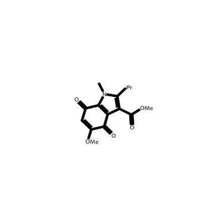 COC(=O)c1c2c(n(C)c1C(C)C)C(=O)C=C(OC)C2=O